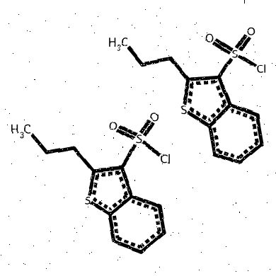 CCCc1sc2ccccc2c1S(=O)(=O)Cl.CCCc1sc2ccccc2c1S(=O)(=O)Cl